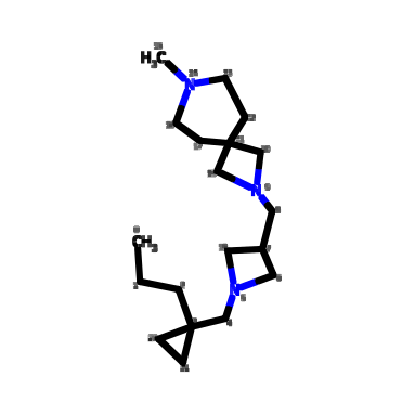 CCCC1(CN2CC(CN3CC4(CCN(C)CC4)C3)C2)CC1